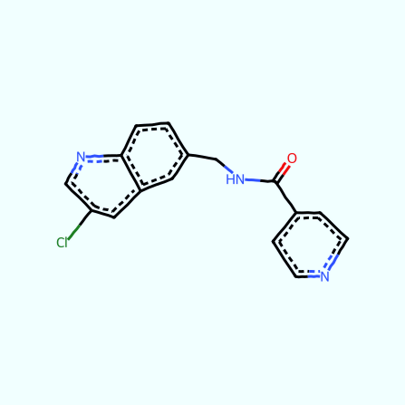 O=C(NCc1ccc2ncc(Cl)cc2c1)c1ccncc1